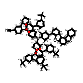 CC(C)(C)c1ccc(N2c3cc(-n4c5ccccc5c5cc(C#N)ccc54)ccc3B3c4ccc(-n5c6ccc(C(C)(C)C)cc6c6cc(C(C)(C)C)ccc65)cc4N(c4ccc(C(C)(C)C)cc4-c4ccccc4)c4cc(-c5cccc6c5oc5ccc7sc8ccccc8c7c56)cc2c43)c(-c2ccccc2)c1